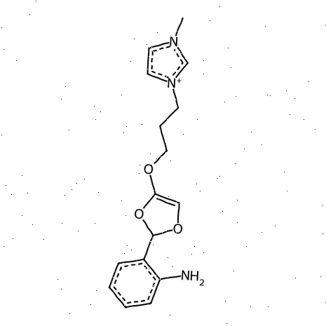 Cn1cc[n+](CCCOC2=COC(c3ccccc3N)O2)c1